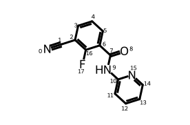 N#Cc1cccc(C(=O)Nc2ccccn2)c1F